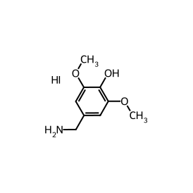 COc1cc(CN)cc(OC)c1O.I